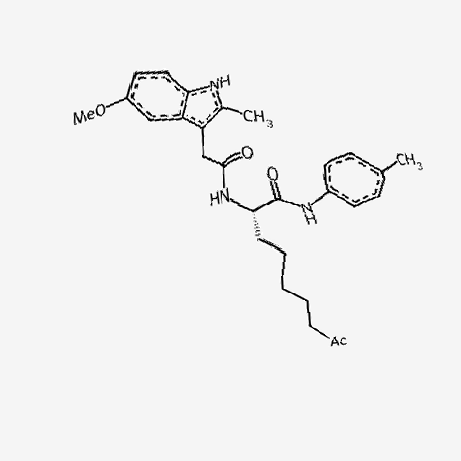 COc1ccc2[nH]c(C)c(CC(=O)N[C@@H](CCCCCC(C)=O)C(=O)Nc3ccc(C)cc3)c2c1